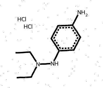 CCN(CC)Nc1ccc(N)cc1.Cl.Cl